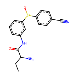 CCC(N)C(=O)Nc1cccc([S+]([O-])c2ccc(C#N)cc2)c1